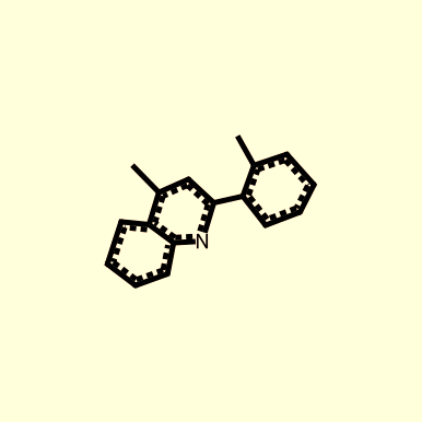 Cc1ccccc1-c1cc(C)c2ccccc2n1